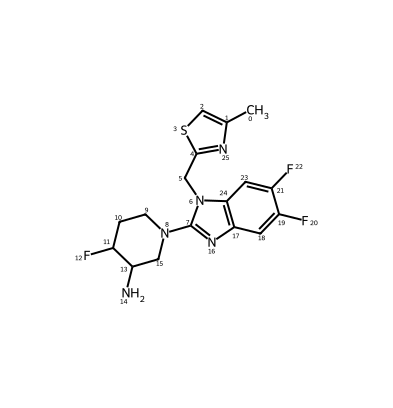 Cc1csc(Cn2c(N3CCC(F)C(N)C3)nc3cc(F)c(F)cc32)n1